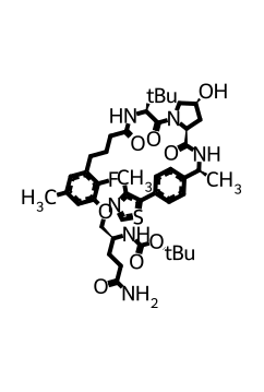 Cc1cc(CCCC(=O)N[C@H](C(=O)N2C[C@H](O)C[C@H]2C(=O)N[C@@H](C)c2ccc(-c3scnc3C)cc2)C(C)(C)C)c(F)c(OC[C@H](CCC(N)=O)NC(=O)OC(C)(C)C)c1